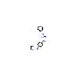 Cc1cccc2nc(-c3nc(-c4ccc(C(=O)N5CC[C@@H](C(C)C)C5)c(F)c4)cnc3N)[nH]c12